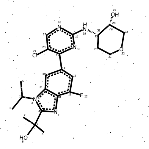 CC(C)n1c(C(C)(C)O)nc2c(F)cc(-c3nc(N[C@H]4CCOC[C@H]4O)ncc3Cl)cc21